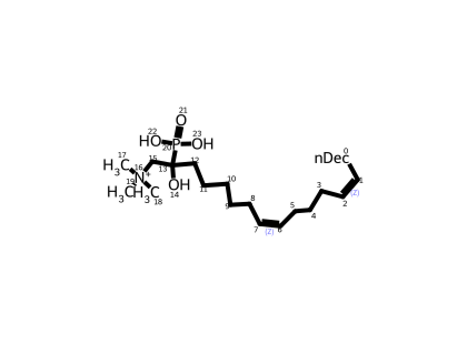 CCCCCCCCCC/C=C\CCC/C=C\CCCCCC(O)(C[N+](C)(C)C)P(=O)(O)O